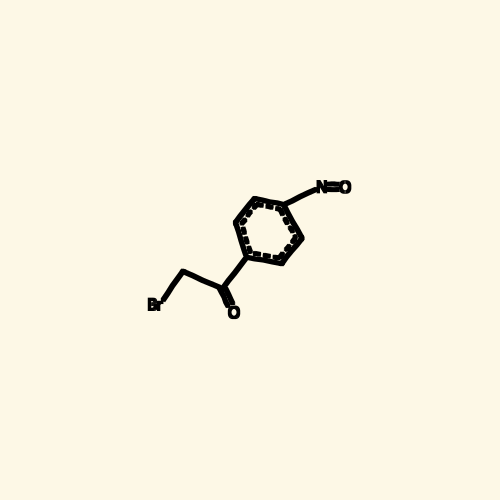 O=Nc1ccc(C(=O)CBr)cc1